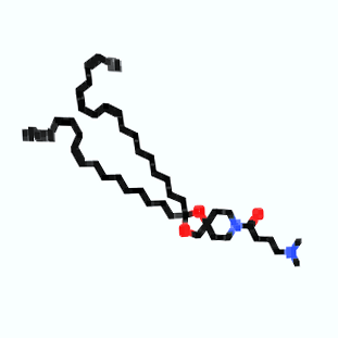 CC/C=C\C/C=C\C/C=C\CCCCCCCCC1(CCCCCCCC/C=C\C/C=C\CCCCC)OCC2(CCN(C(=O)CCCN(C)C)CC2)O1